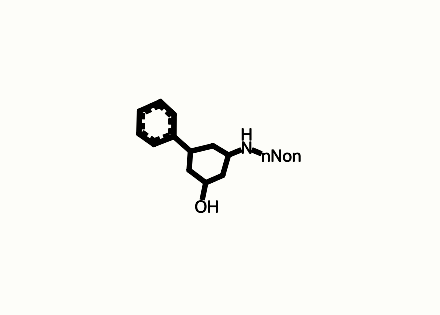 CCCCCCCCCNC1CC(O)CC(c2ccccc2)C1